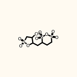 CC1CS(=O)(=O)OC1CC1CCS(=O)(=O)OS1(=O)=O